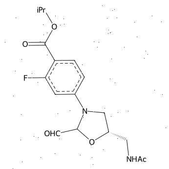 CC(=O)NC[C@H]1CN(c2ccc(C(=O)OC(C)C)c(F)c2)C(C=O)O1